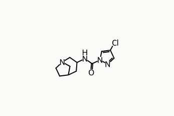 O=C(NC1CC2CCN(C2)C1)n1cc(Cl)cn1